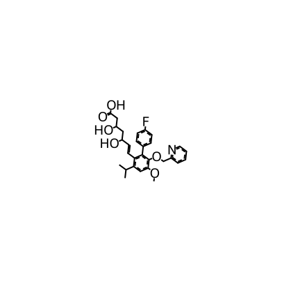 COc1cc(C(C)C)c(C=CC(O)CC(O)CC(=O)O)c(-c2ccc(F)cc2)c1OCc1ccccn1